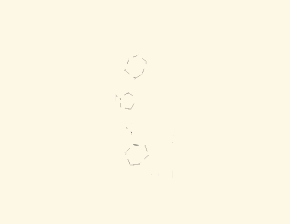 O=C(O)c1ccc(NSc2cnc(-c3ccc(F)cc3)s2)c(OC2CC2)c1